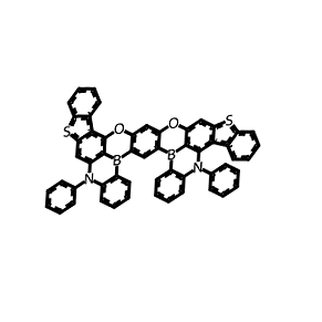 c1ccc(N2c3ccccc3B3c4cc5c(cc4Oc4c3c2cc2sc3ccccc3c42)Oc2cc3sc4ccccc4c3c3c2B5c2ccccc2N3c2ccccc2)cc1